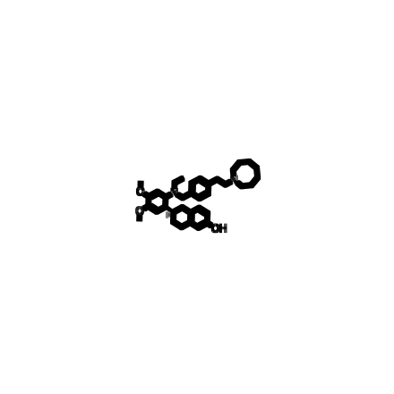 CCN(Cc1ccc(CCN2CCCCCCC2)cc1)C1C=C(OC)C(OC)=CC1[C@@H]1CCc2cc(O)ccc2C1